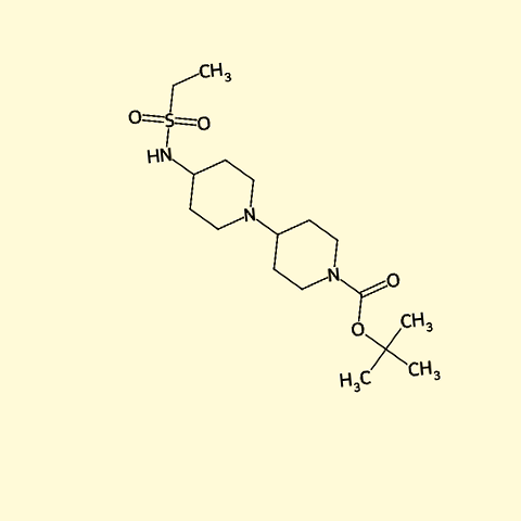 CCS(=O)(=O)NC1CCN(C2CCN(C(=O)OC(C)(C)C)CC2)CC1